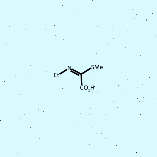 CCN=C(SC)C(=O)O